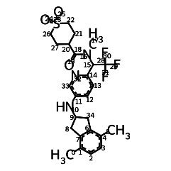 Cc1ccc(C)c2c1CC(Nc1ccc(C(N(C)C(=O)C3CCS(=O)(=O)CC3)C(F)(F)F)nc1)C2